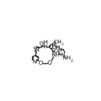 C=C1C(=O)NCCOCCOc2cc(ccn2)-c2nc(cs2)C(=O)N/C1=C/N(C)CCN1CCN(N)CC1